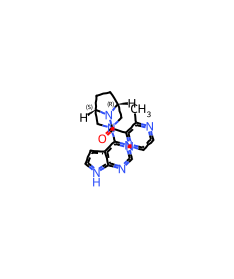 Cc1nccnc1C(=O)N1[C@@H]2CC[C@H]1CN(c1ncnc3[nH]ccc13)C2